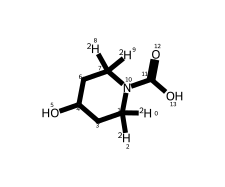 [2H]C1([2H])CC(O)CC([2H])([2H])N1C(=O)O